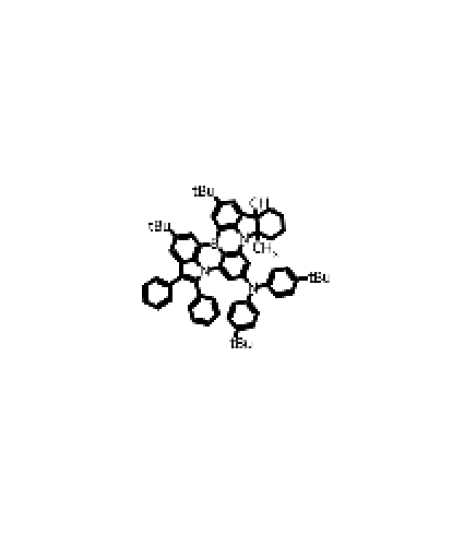 CC(C)(C)c1ccc(N(c2ccc(C(C)(C)C)cc2)c2cc3c4c(c2)-n2c(-c5ccccc5)c(-c5ccccc5)c5cc(C(C)(C)C)cc(c52)B4c2cc(C(C)(C)C)cc4c2N3C2(C)CCCCC42C)cc1